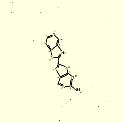 Nc1ncc2nc(-c3nc4cncnc4s3)sc2n1